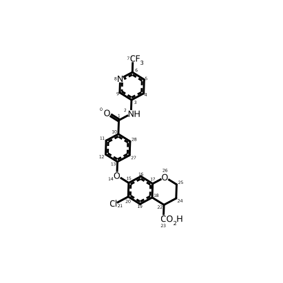 O=C(Nc1ccc(C(F)(F)F)nc1)c1ccc(Oc2cc3c(cc2Cl)C(C(=O)O)CCO3)cc1